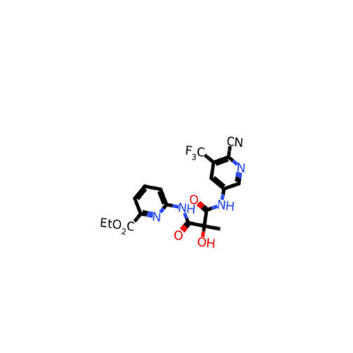 CCOC(=O)c1cccc(NC(=O)C(C)(O)C(=O)Nc2cnc(C#N)c(C(F)(F)F)c2)n1